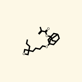 C=C(C)C(=O)OC12CC3CC(CC(OCCCCC4(CCC)COC4)(C3)C1)C2